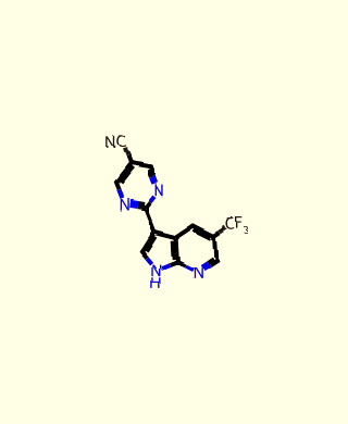 N#Cc1cnc(-c2c[nH]c3ncc(C(F)(F)F)cc23)nc1